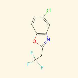 FC(F)(F)Cc1nc2cc(Cl)ccc2o1